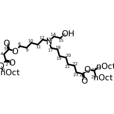 CCCCCCCCOC(=O)CC(=O)OCCCCCN(CCO)CCCCCCCC(=O)OC(CCCCCCCC)CCCCCCCC